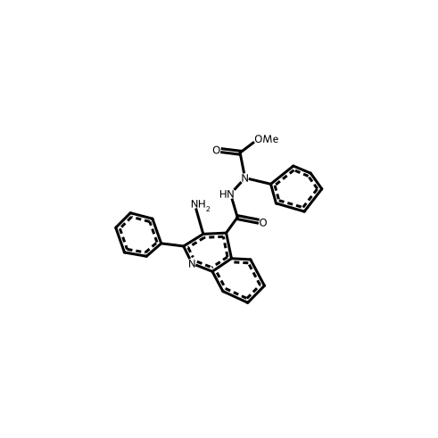 COC(=O)N(NC(=O)c1c(N)c(-c2ccccc2)nc2ccccc12)c1ccccc1